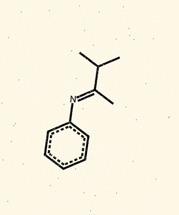 C/C(=N\c1ccccc1)C(C)C